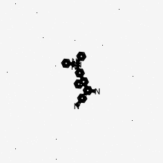 N#Cc1ccc(-c2cc(C#N)cc(-c3ccc(-c4ccc(-c5nc(-c6ccccc6)nc(-c6ccccc6)n5)cc4)c4ccccc34)c2)cc1